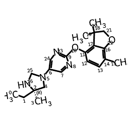 CC[C@]1(C)CN(c2cnc(Oc3ccc(C)c4c3C(C)(C)CO4)nc2)CN1